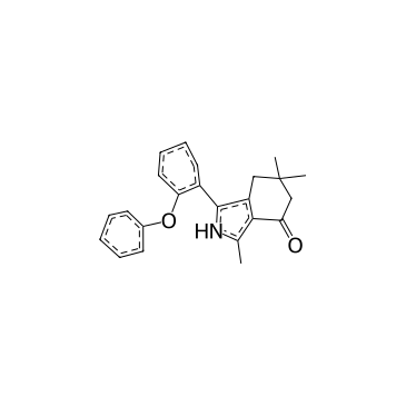 Cc1[nH]c(-c2ccccc2Oc2ccccc2)c2c1C(=O)CC(C)(C)C2